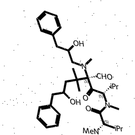 CN[C@H](C(=O)N(C)[C@H](C(=O)[C@]([C]=O)(N(C)CC(O)Cc1ccccc1)C(C)(C)CC(O)Cc1ccccc1)C(C)C)C(C)C